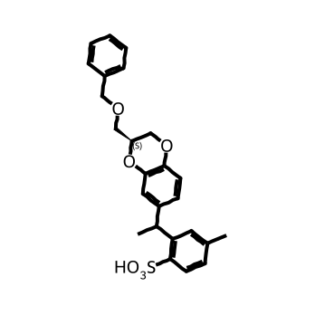 Cc1ccc(S(=O)(=O)O)c(C(C)c2ccc3c(c2)O[C@@H](COCc2ccccc2)CO3)c1